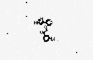 Bc1cccc(C(=O)COc2ccccc2-c2c[nH]cn2)c1